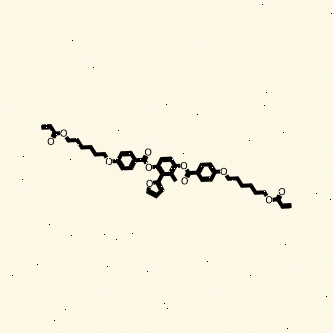 C=CC(=O)OCCCCCCOc1ccc(C(=O)Oc2ccc(OC(=O)c3ccc(OCCCCCCOC(=O)C=C)cc3)c(-c3ccco3)c2C)cc1